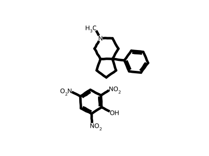 CN1CCC2(c3ccccc3)CCCC2C1.O=[N+]([O-])c1cc([N+](=O)[O-])c(O)c([N+](=O)[O-])c1